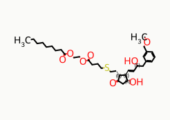 CCCCCCCCC(=O)OCCOC(=O)CCCSCC[C@H]1C(=O)C[C@@H](O)[C@@H]1C=C[C@@H](O)Cc1cccc(COC)c1